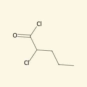 CCCC(Cl)C(=O)Cl